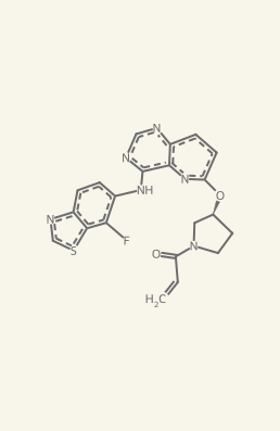 C=CC(=O)N1CC[C@H](Oc2ccc3ncnc(Nc4ccc5ncsc5c4F)c3n2)C1